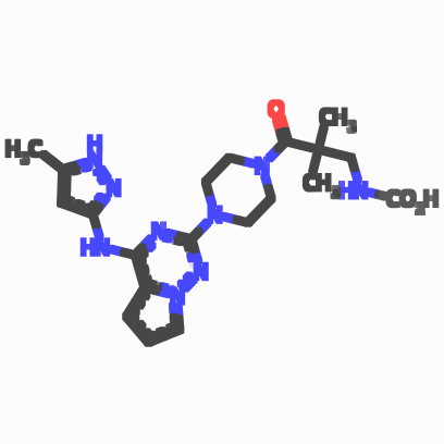 Cc1cc(Nc2nc(N3CCN(C(=O)C(C)(C)CNC(=O)O)CC3)nn3cccc23)n[nH]1